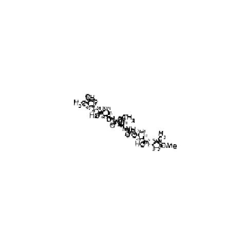 COc1ccc(CC[C@@H](O)c2cccc(OCC(=O)NCC(CNC(=O)COc3cccc([C@H](O)CCc4ccc(C)c(C)c4)c3)CN(C)C)c2)cc1C